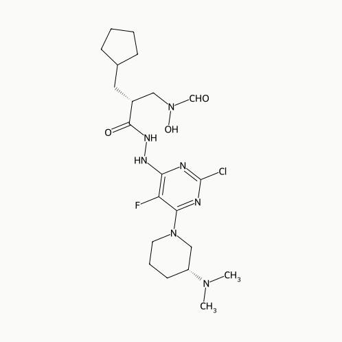 CN(C)[C@@H]1CCCN(c2nc(Cl)nc(NNC(=O)[C@H](CC3CCCC3)CN(O)C=O)c2F)C1